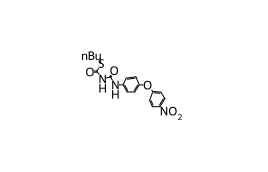 CCCCSC(=O)NC(=O)Nc1ccc(Oc2ccc([N+](=O)[O-])cc2)cc1